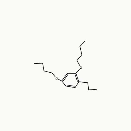 CC[CH]c1ccc(OCCCC)cc1OCCCC